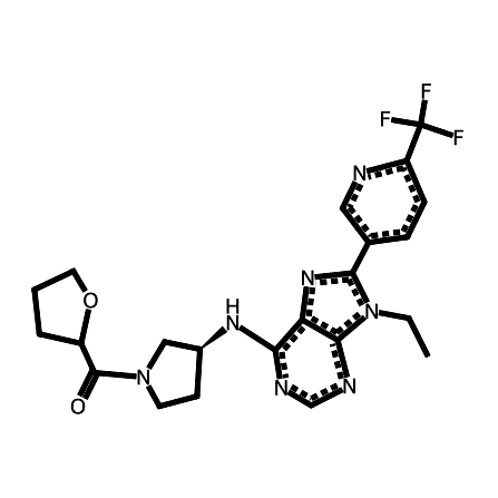 CCn1c(-c2ccc(C(F)(F)F)nc2)nc2c(N[C@H]3CCN(C(=O)C4CCCO4)C3)ncnc21